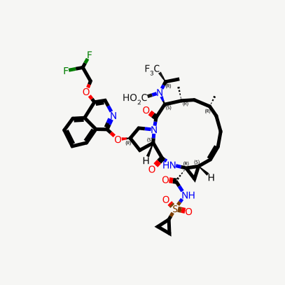 C[C@@H]1CCC=C[C@@H]2C[C@@]2(C(=O)NS(=O)(=O)C2CC2)NC(=O)[C@@H]2C[C@@H](Oc3ncc(OCC(F)F)c4ccccc34)CN2C(=O)[C@@H](N(C(=O)O)[C@H](C)C(F)(F)F)[C@H](C)C1